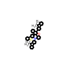 CC1(C)c2ccccc2-c2ccc(-c3c4ccccc4cc4c3oc3cccc(N(c5ccc6c(c5)C(C)(C)c5ccccc5-6)c5cccc6c5sc5ccccc56)c34)cc21